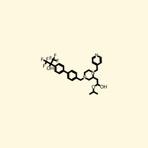 CC(C)OC(O)CC1CN(Cc2ccc(-c3ccc(C(O)(C(F)(F)F)C(F)(F)F)cc3)cc2)CCN1Cc1ccncc1